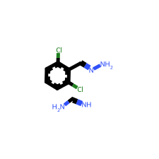 N=CN.NN=Cc1c(Cl)cccc1Cl